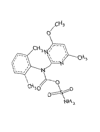 COc1cc(C)nc(N(C(=O)OS(N)(=O)=O)c2c(C)cccc2C)n1